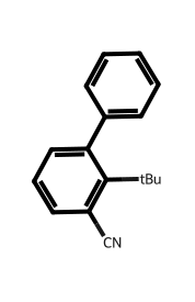 CC(C)(C)c1c(C#N)cccc1-c1ccccc1